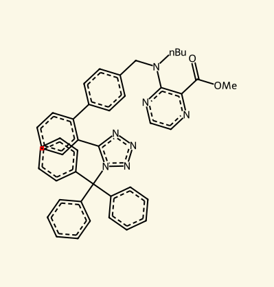 CCCCN(Cc1ccc(-c2ccccc2-c2nnnn2C(c2ccccc2)(c2ccccc2)c2ccccc2)cc1)c1nccnc1C(=O)OC